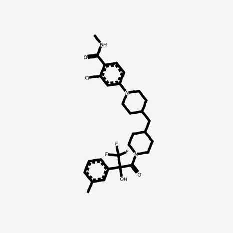 CNC(=O)c1ccc(N2CCC(CC3CCN(C(=O)C(O)(c4cccc(C)c4)C(F)(F)F)CC3)CC2)cc1Cl